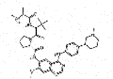 COc1cc2ncnc(Nc3ccc(C4CCCN(C)C4)cc3)c2cc1NC(=O)[C@@H]1CCCN1C(=O)C(NC(=O)C(C)[AsH]C)C(C)(C)C